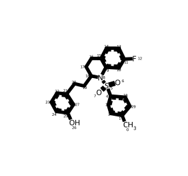 Cc1ccc(S(=O)(=O)N2c3cc(F)ccc3CCC2CCc2cccc(O)c2)cc1